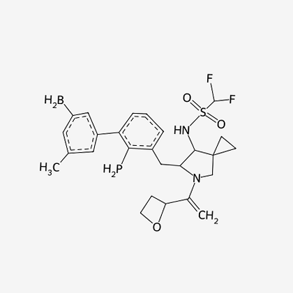 Bc1cc(C)cc(-c2cccc(CC3C(NS(=O)(=O)C(F)F)C4(CC4)CN3C(=C)C3CCO3)c2P)c1